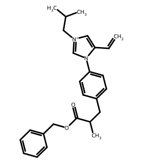 C=Cc1c[n+](CC(C)C)cn1-c1ccc(CC(C)C(=O)OCc2ccccc2)cc1